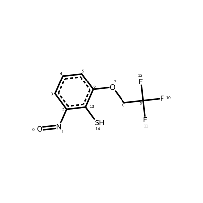 O=Nc1cccc(OCC(F)(F)F)c1S